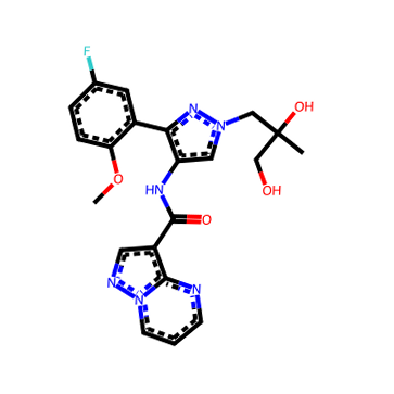 COc1ccc(F)cc1-c1nn(CC(C)(O)CO)cc1NC(=O)c1cnn2cccnc12